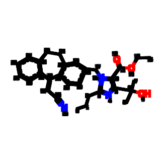 CCCc1nc(C(C)(C)O)c(C(=O)OCC)n1Cc1ccc2c(c1)CCc1ccccc1/C2=C/C#N